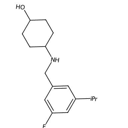 CC(C)c1cc(F)cc(CNC2CCC(O)CC2)c1